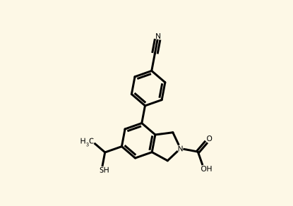 CC(S)c1cc2c(c(-c3ccc(C#N)cc3)c1)CN(C(=O)O)C2